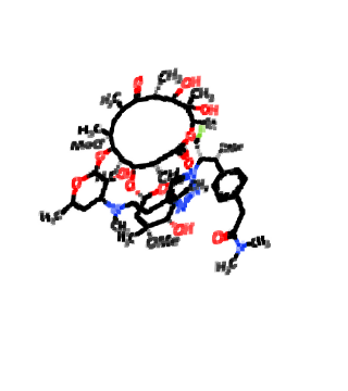 CC[C@H]1OC(=O)[C@H](C)[C@@H](O[C@H]2C[C@@](C)(OC)[C@@H](O)[C@H](C)O2)[C@H](C)[C@@H](O[C@@H]2O[C@H](C)C[C@H](N(C)CCc3cn([C@H](CF)[C@H](OC)c4ccc(CC(=O)N(C)C)cc4)nn3)[C@H]2O)[C@](C)(OC)C[C@@H](C)C(=O)[C@H](C)[C@@H](O)[C@]1(C)O